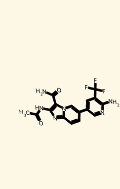 CC(=O)Nc1nc2ccc(-c3cnc(N)c(C(F)(F)F)c3)cn2c1C(N)=O